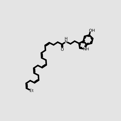 CC/C=C\C/C=C\C/C=C\C/C=C\C/C=C\C/C=C\CCC(=O)NCCc1c[nH]c2ccc(O)cc12